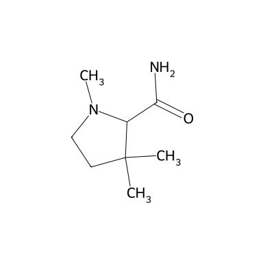 CN1CCC(C)(C)C1C(N)=O